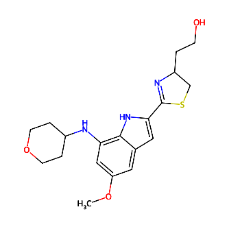 COc1cc(NC2CCOCC2)c2[nH]c(C3=NC(CCO)CS3)cc2c1